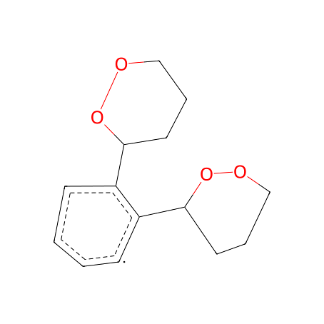 [c]1cccc(C2CCCOO2)c1C1CCCOO1